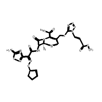 COC(=O)CCn1nnnc1SCC1=C(C(=O)O)N2C(=O)C(NC(=O)C(=NOC3CCCC3)c3nsc(N)n3)[C@@H]2SC1